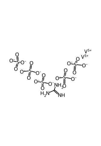 N=C(N)N.O=S(=O)([O-])[O-].O=S(=O)([O-])[O-].O=S(=O)([O-])[O-].O=S(=O)([O-])[O-].O=S(=O)([O-])[O-].[V+5].[V+5]